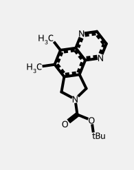 Cc1c2c(c3nccnc3c1C)CN(C(=O)OC(C)(C)C)C2